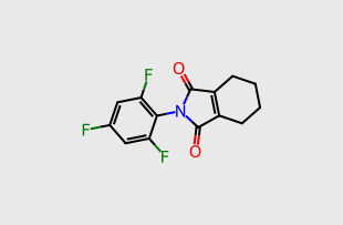 O=C1C2=C(CCCC2)C(=O)N1c1c(F)cc(F)cc1F